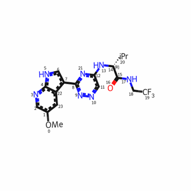 COc1cnc2[nH]cc(-c3nncc(N[C@@H](C(=O)NCC(F)(F)F)C(C)C)n3)c2c1